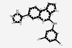 Fc1cc(F)cc(Nc2nc3cc(-c4nnn[nH]4)ccc3c3ccsc23)c1